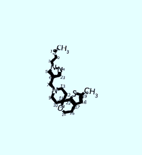 CSCCn1cc(CN2CCC3(CC2)OCCc2cc(C)sc23)cn1